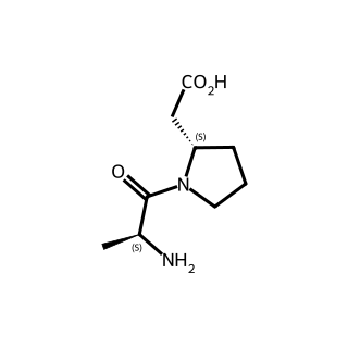 C[C@H](N)C(=O)N1CCC[C@H]1CC(=O)O